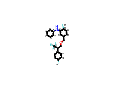 Fc1ccc(C(COCc2ccc(F)c(Nc3ccccc3)c2)C(F)(F)F)cc1